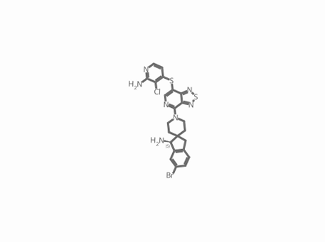 Nc1nccc(Sc2cnc(N3CCC4(CC3)Cc3ccc(Br)cc3[C@H]4N)c3nsnc23)c1Cl